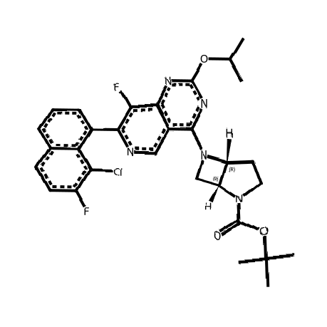 CC(C)Oc1nc(N2C[C@@H]3[C@H]2CCN3C(=O)OC(C)(C)C)c2cnc(-c3cccc4ccc(F)c(Cl)c34)c(F)c2n1